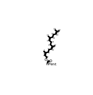 CCCCCC(=O)OCC=C(C)CCC=C(C)CCC=C(C)CCC=C(C)C